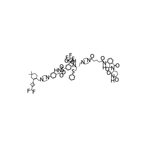 CC1(C)CCC(CN2CCN(c3ccc(C(=O)NS(=O)(=O)c4ccc(N[C@H](CCN5CCN(C(=O)CCCC(=O)Nc6cccc7c6C(=O)N(C6CCC(=O)NC6=O)C7=O)CC5)CSc5ccccc5)c(S(=O)(=O)C(F)(F)F)c4)cc3)CC2)=C(C23CC(C(F)F)(C2)C3)C1